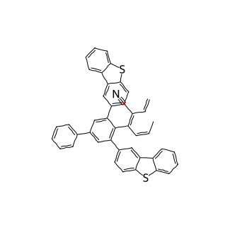 C=C/C(C#N)=C(\C=C/C)c1c(-c2ccc3sc4ccccc4c3c2)cc(-c2ccccc2)cc1-c1ccc2sc3ccccc3c2c1